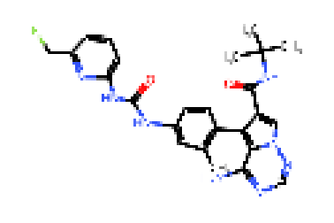 Cc1cc(NC(=O)Nc2cccc(CF)n2)ccc1-c1c(C(=O)NC(C)(C)C)cn2ncnc(N)c12